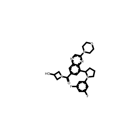 O=C(c1cc(C2CCCN2c2cc(F)cc(F)c2)c2nc(N3CCOCC3)cnc2c1)N1CC(O)C1